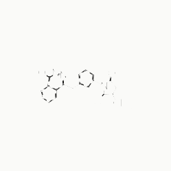 CC1CC(=O)N(c2cccc(Cc3n[nH]c(=O)c4ccccc34)c2)C1=O